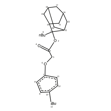 CCCCC1(OC(=O)COc2ccc(C(C)CC)cc2)C2CC3CC(C2)CC1C3